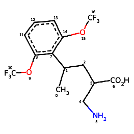 CC(CC(CN)C(=O)O)c1c(OC(F)(F)F)cccc1OC(F)(F)F